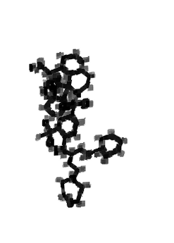 CS(=O)(=O)c1cc(S(=O)(=O)N2CCc3cccc(C(N)=O)c3C2(C(N)=O)c2ccccn2)ccc1N[C@H](CCN1CCOCC1)CSc1ccccc1